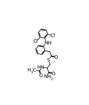 CC(=O)NC(CSC(=O)Cc1ccccc1Nc1c(Cl)cccc1Cl)C(N)=O